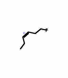 CC/C=C\CCF